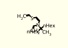 C=CS/C=C\N(C=C)C(C)(CCCCCC)CCCCCC